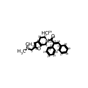 CN(C)Cc1cc2c(o1)CN(C(=O)/C(=C/c1ccccc1)c1ccccc1)CC2.Cl